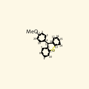 COc1ccc(C2c3ccccc3Sc3ccccc32)cc1